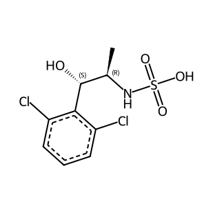 C[C@@H](NS(=O)(=O)O)[C@@H](O)c1c(Cl)cccc1Cl